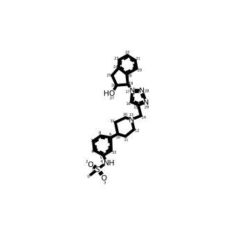 CS(=O)(=O)Nc1cccc(C2CCN(Cc3cn(C4c5ccccc5CC4O)nn3)CC2)c1